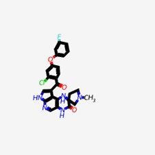 CN1CCC2(C1)Nc1c(cnc3[nH]cc(C(=O)c4ccc(Oc5cccc(F)c5)cc4Cl)c13)NC2=O